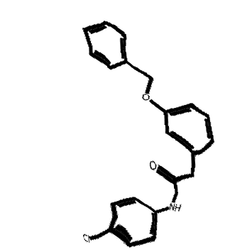 O=C(Cc1cccc(OCc2ccccc2)c1)Nc1ccc(Cl)cc1